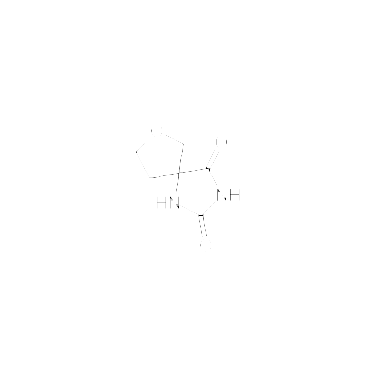 O=C1NC(=O)C2(CCOC2)N1